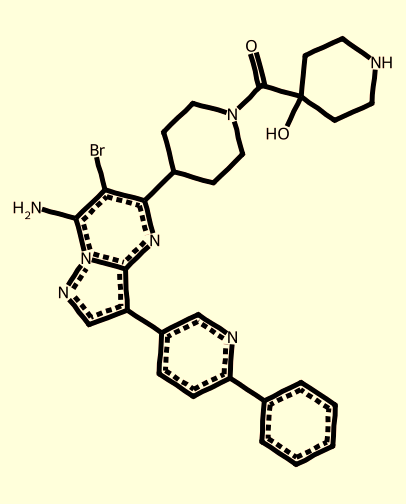 Nc1c(Br)c(C2CCN(C(=O)C3(O)CCNCC3)CC2)nc2c(-c3ccc(-c4ccccc4)nc3)cnn12